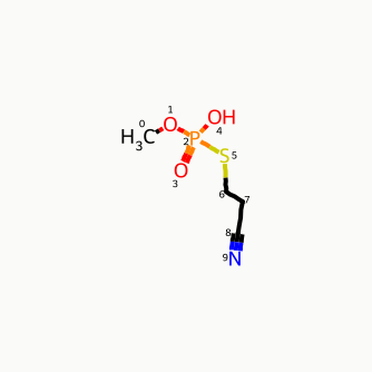 COP(=O)(O)SCCC#N